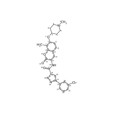 Cc1c(OC2CCN(C)CC2)ccc2cc(NC(=O)c3cn(-c4cccc(Cl)c4)nn3)c(=O)oc12